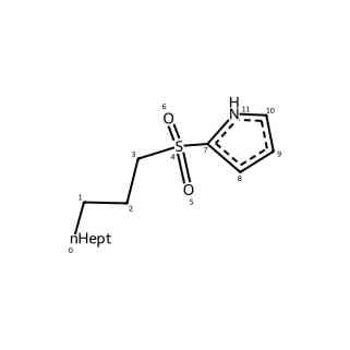 CCCCCCCCCCS(=O)(=O)c1ccc[nH]1